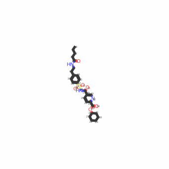 CCCCC(=O)NCCc1ccc(S(=O)(=O)NC(=O)c2ccc(C(=O)OC3CCCCC3)nc2)cc1